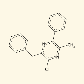 Cc1nc(Cl)c(Cc2ccccc2)nc1-c1ccccc1